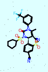 CC1=C(C#N)[C@@H](c2ccc(C#N)cc2S(C)(=O)=O)N(S(=O)(=O)C2CCCCC2)C(=O)N1c1cccc(C(F)(F)F)c1